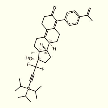 C=C(C)c1ccc(C2=C3CC[C@@H]4C(=C3CCC2=O)CC[C@@]2(C)[C@H]4CC[C@@]2(O)C(F)(F)C#C[Si](C(C)C)(C(C)C)C(C)C)cc1